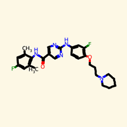 Cc1cc(F)cc(C)c1NC(=O)c1cnc(Nc2ccc(OCCCN3CCCCC3)c(F)c2)nc1